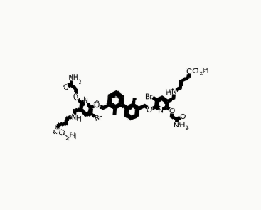 Cc1c(COc2nc(OCC(N)=O)c(CNCCCC(=O)O)cc2Br)cccc1-c1cccc(COc2nc(OCC(N)=O)c(CNCCCC(=O)O)cc2Br)c1C